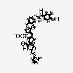 Cn1cnnc1SCC(=O)N[C@@H]1C(=O)N2C(C(=O)[O-])=C(C=C3CCN(Cc4cc[n+](CC(=O)Nc5ccc(O)c(F)c5)cc4)C3=O)CS[C@H]12